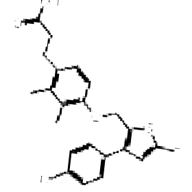 Cc1c(CCC(=O)O)ccc(OCc2sc(F)cc2-c2ccc(Cl)cc2)c1C